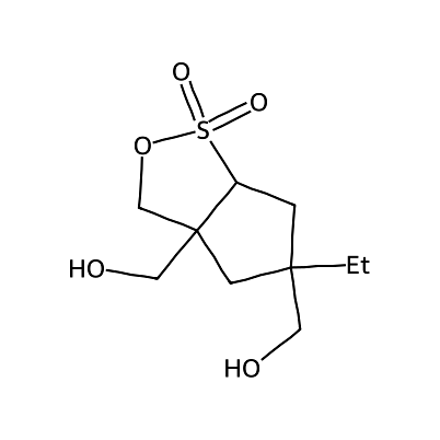 CCC1(CO)CC2C(CO)(COS2(=O)=O)C1